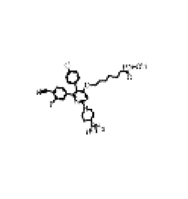 Cl.N#Cc1ccc(-c2nc(N3CCC(N)CC3)cc(OCCCCCCC(=O)NO)c2-c2ccc(Cl)cc2)cc1F